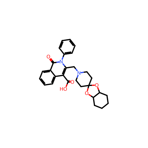 O=C(O)c1c(CN2CCC3(CC2)OC2CCCCC2O3)n(-c2ccccc2)c(=O)c2ccccc12